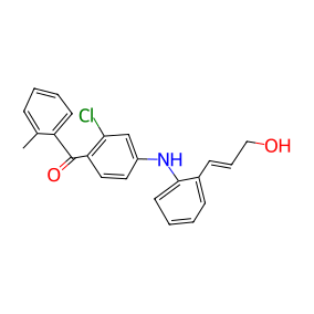 Cc1ccccc1C(=O)c1ccc(Nc2ccccc2/C=C/CO)cc1Cl